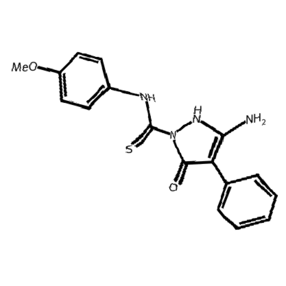 COc1ccc(NC(=S)n2[nH]c(N)c(-c3ccccc3)c2=O)cc1